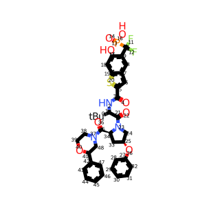 CC(C)(C)C(NC(=O)c1cc2cc(C(F)(F)P(=O)(O)O)ccc2s1)C(=O)N1C[C@@H](Oc2ccccc2)C[C@H]1C(=O)N1CCOC(c2ccccc2)C1